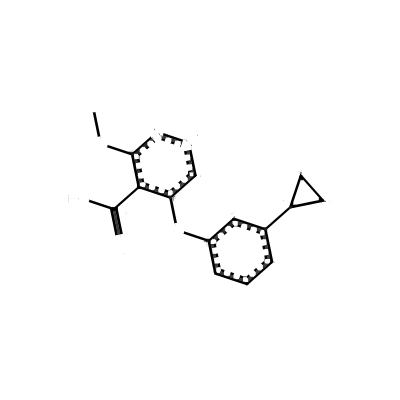 COc1nncc(Oc2cccc(C3CC3)c2)c1C(=O)O